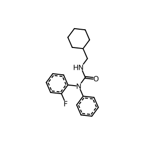 O=C(NCC1CCCCC1)N(c1ccccc1)c1ccccc1F